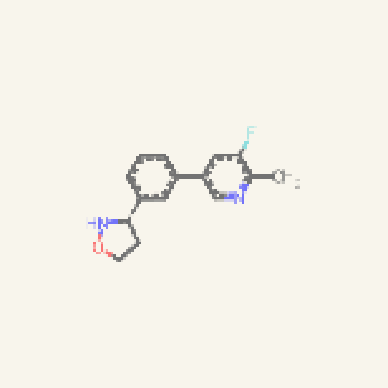 Cc1ncc(-c2cccc([C@H]3CCON3)c2)cc1F